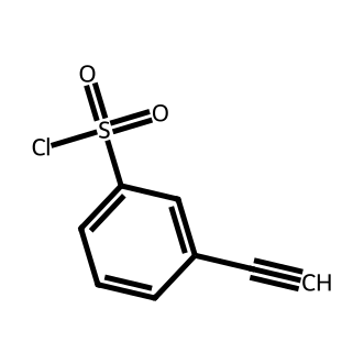 C#Cc1cccc(S(=O)(=O)Cl)c1